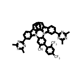 Cc1nc(C)nc(-c2ccc3c4ccccc4n(-c4cc(C#N)c(-c5ccc(C(F)(F)F)cc5C(F)(F)F)cc4-n4c5ccccc5c5ccc(-c6nc(C)nc(C)n6)cc54)c3c2)n1